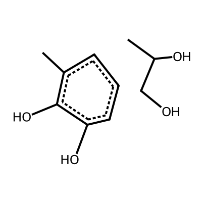 CC(O)CO.Cc1cccc(O)c1O